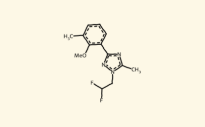 COc1c(C)cccc1-c1nc(C)n(CC(F)F)n1